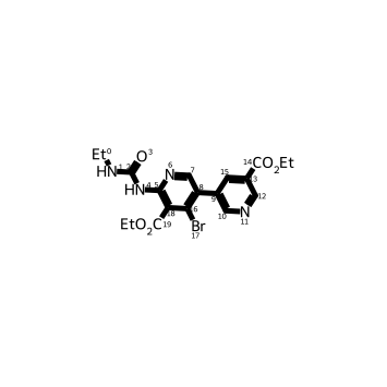 CCNC(=O)Nc1ncc(-c2cncc(C(=O)OCC)c2)c(Br)c1C(=O)OCC